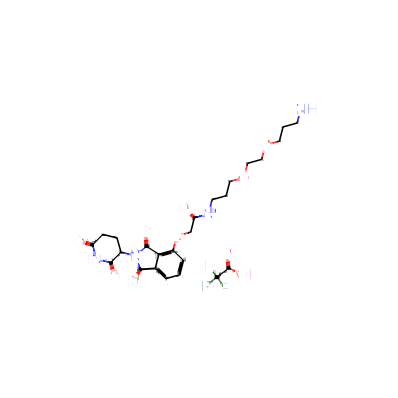 NCCCOCCOCCCNC(=O)COc1cccc2c1C(=O)N(C1CCC(=O)NC1=O)C2=O.O=C(O)C(F)(F)F